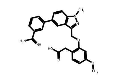 COc1ccc(CC(=O)O)c(OCc2nn(C)c3ccc(-c4cccc(C(=N)N)c4)cc23)c1